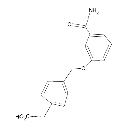 NC(=O)c1cccc(OCc2ccc(CC(=O)O)cc2)c1